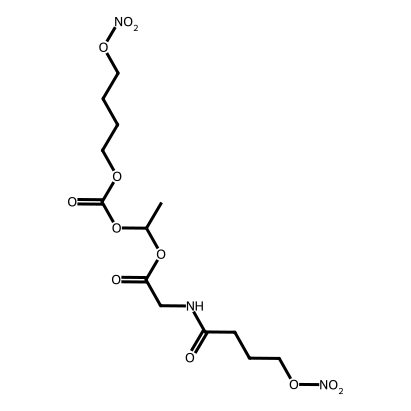 CC(OC(=O)CNC(=O)CCCO[N+](=O)[O-])OC(=O)OCCCCO[N+](=O)[O-]